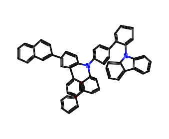 c1ccc(-c2cccc(N(c3ccc(-c4ccccc4-n4c5ccccc5c5ccccc54)cc3)c3ccc(-c4ccc5ccccc5c4)cc3-c3ccccc3)c2)cc1